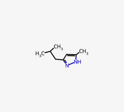 Cc1cc(CC(C)C)n[nH]1